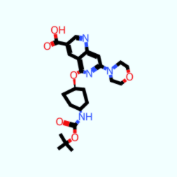 CC(C)(C)OC(=O)N[C@H]1CC[C@@H](Oc2nc(N3CCOCC3)cc3ncc(C(=O)O)cc23)CC1